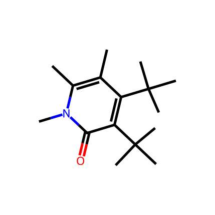 Cc1c(C(C)(C)C)c(C(C)(C)C)c(=O)n(C)c1C